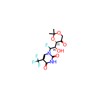 CC1(C)OCC(=O)[C@H]([C@@H](O)C(F)n2cc(C(F)(F)F)c(=O)[nH]c2=O)O1